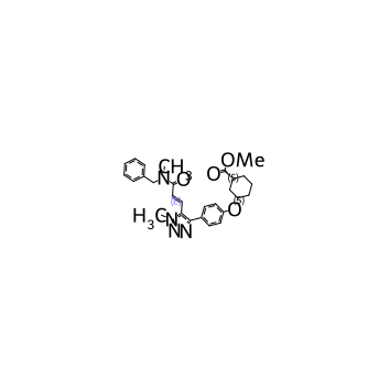 COC(=O)[C@H]1CCC[C@H](Oc2ccc(-c3nnn(C)c3/C=C/C(=O)N(C)Cc3ccccc3)cc2)C1